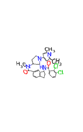 Cc1cc(N2CCC(N(C)C(=O)c3ccc4c(c3)C(NC(=O)c3cccc(Cl)c3Cl)CC4)CC2)cc(C)n1